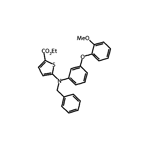 CCOC(=O)c1ccc(N(Cc2ccccc2)c2cccc(Oc3ccccc3OC)c2)s1